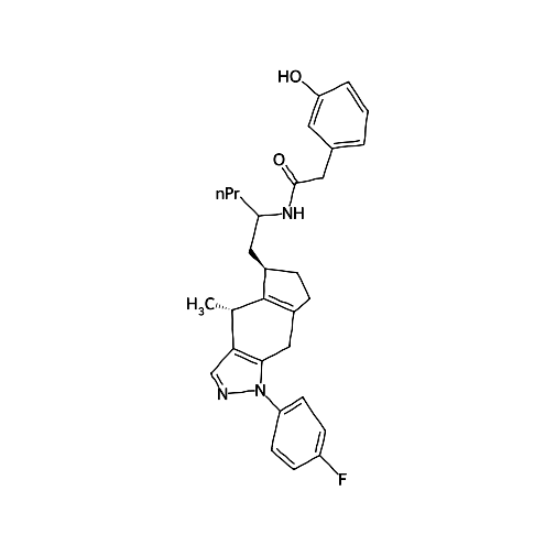 CCCC(C[C@H]1CCC2=C1[C@@H](C)c1cnn(-c3ccc(F)cc3)c1C2)NC(=O)Cc1cccc(O)c1